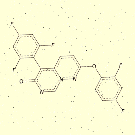 O=c1ncn2nc(Oc3ccc(F)cc3F)ccc2c1-c1c(F)cc(F)cc1F